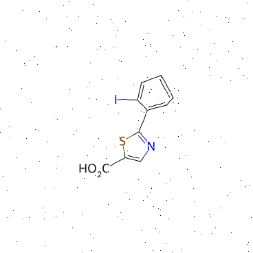 O=C(O)c1cnc(-c2ccccc2I)s1